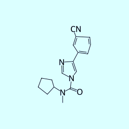 CN(C(=O)n1cnc(-c2cccc(C#N)c2)c1)C1CCCC1